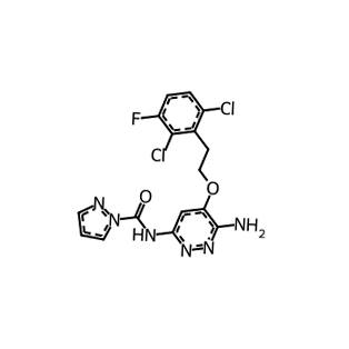 Nc1nnc(NC(=O)n2cccn2)cc1OCCc1c(Cl)ccc(F)c1Cl